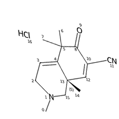 CN1CC=C2C(C)(C)C(=O)C(C#N)=C[C@]2(C)C1.Cl